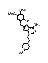 COc1cc(Br)c(Sc2nc3c(N)ncn(CCC4CCN(C(C)=O)CC4)c-3n2)cc1OC